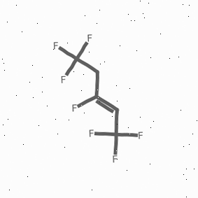 FC(=CC(F)(F)F)CC(F)(F)F